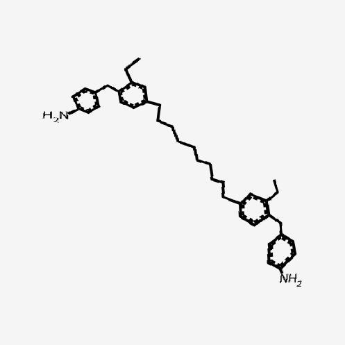 CCc1cc(CCCCCCCCCCc2ccc(Cc3ccc(N)cc3)c(CC)c2)ccc1Cc1ccc(N)cc1